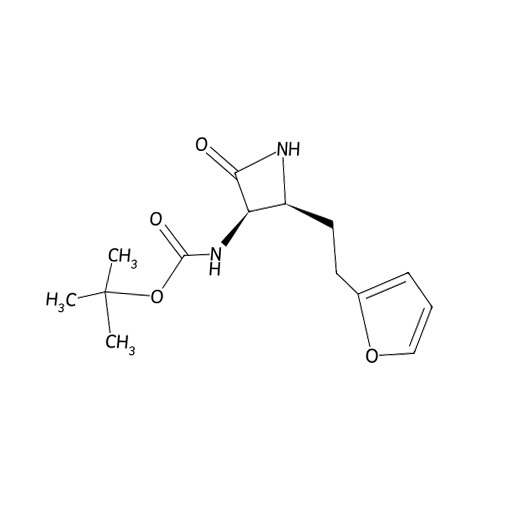 CC(C)(C)OC(=O)N[C@H]1C(=O)N[C@H]1CCc1ccco1